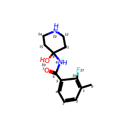 Cc1cccc(C(=O)NC2(O)CCNCC2)c1F